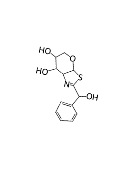 OC(C1=NC2C(OCC(O)C2O)S1)c1ccccc1